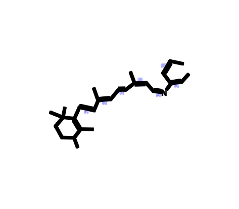 C\C=C/C(=C\C)/N=C\C=C(C)/C=C/C=C(C)/C=C/C1=C(C)C(C)CCC1(C)C